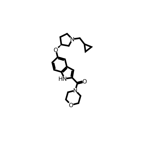 O=C(c1cc2cc(O[C@H]3CCN(CC4CC4)C3)ccc2[nH]1)N1CCOCC1